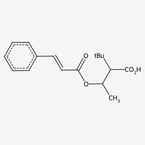 CC(OC(=O)/C=C/c1ccccc1)C(C(=O)O)C(C)(C)C